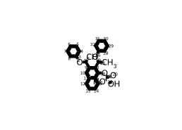 CC(Oc1ccccc1)c1cc2ccccc2c(OP(=O)(O)O)c1C(C)Oc1ccccc1